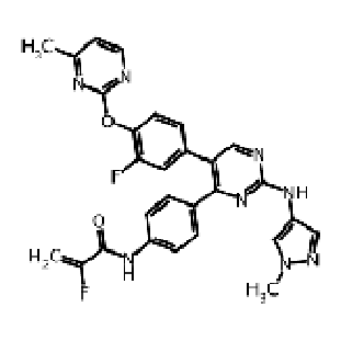 C=C(F)C(=O)Nc1ccc(-c2nc(Nc3cnn(C)c3)ncc2-c2ccc(Oc3nccc(C)n3)c(F)c2)cc1